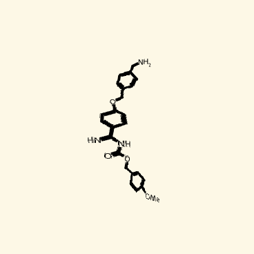 COc1ccc(COC(=O)NC(=N)c2ccc(OCc3ccc(CN)cc3)cc2)cc1